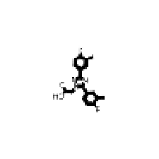 Cc1cc(-c2nc(-c3ccc(F)c(C)c3)n(CC(=O)O)n2)ccc1F